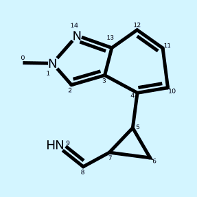 Cn1cc2c(C3CC3C=N)cccc2n1